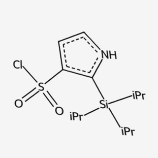 CC(C)[Si](c1[nH]ccc1S(=O)(=O)Cl)(C(C)C)C(C)C